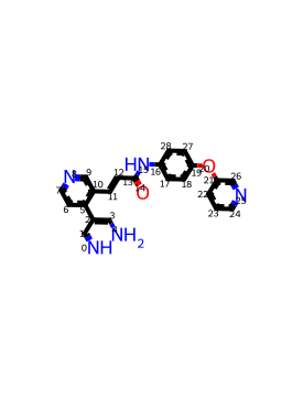 N=C/C(=C\N)c1ccncc1/C=C/C(=O)Nc1ccc(Oc2cccnc2)cc1